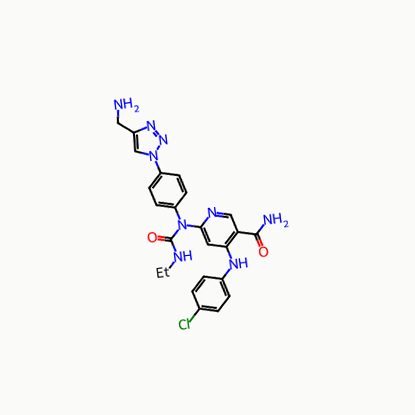 CCNC(=O)N(c1ccc(-n2cc(CN)nn2)cc1)c1cc(Nc2ccc(Cl)cc2)c(C(N)=O)cn1